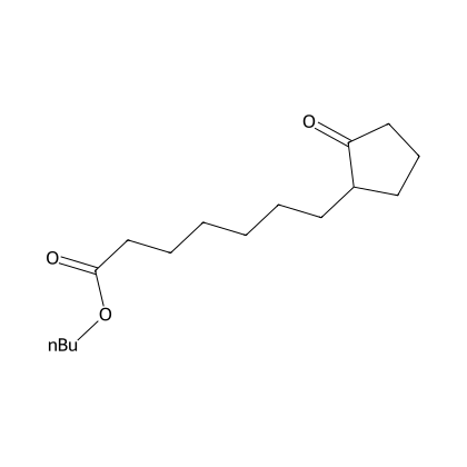 CCCCOC(=O)CCCCCCC1CCCC1=O